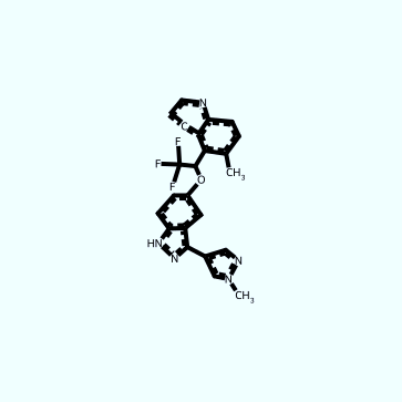 Cc1ccc2ncccc2c1C(Oc1ccc2[nH]nc(-c3cnn(C)c3)c2c1)C(F)(F)F